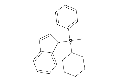 C[Si]([C]1C=Cc2ccccc21)(c1ccccc1)C1CCCCC1